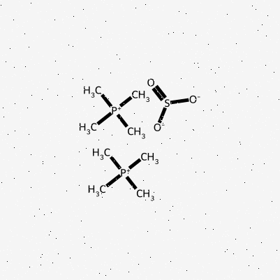 C[P+](C)(C)C.C[P+](C)(C)C.O=S([O-])[O-]